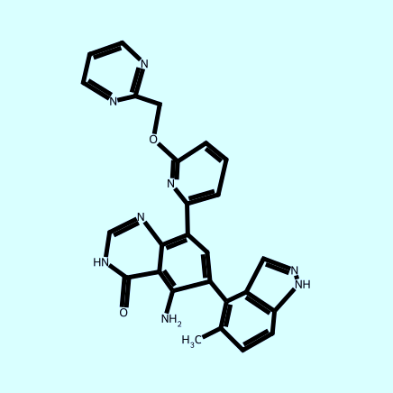 Cc1ccc2[nH]ncc2c1-c1cc(-c2cccc(OCc3ncccn3)n2)c2nc[nH]c(=O)c2c1N